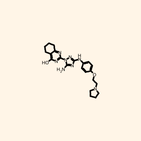 Nc1nc(Nc2ccc(OCCN3CCCC3)cc2)nn1-c1nc(O)c2c(n1)CCCC2